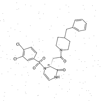 O=C1NC=CN(S(=O)(=O)c2ccc(Cl)c(Cl)c2)[C@@H]1CC(=O)N1CCC(Cc2ccccc2)CC1